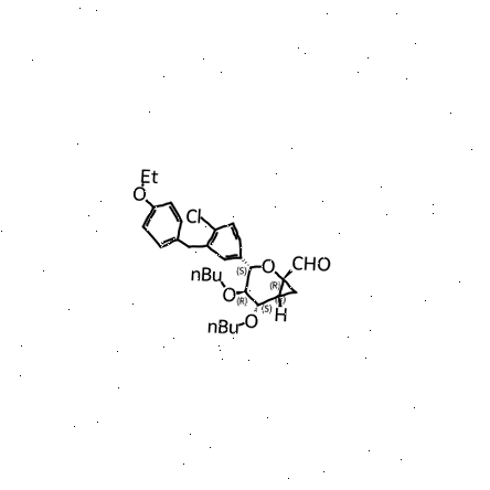 CCCCO[C@@H]1[C@@H](OCCCC)[C@H](c2ccc(Cl)c(Cc3ccc(OCC)cc3)c2)O[C@]2(C=O)C[C@H]12